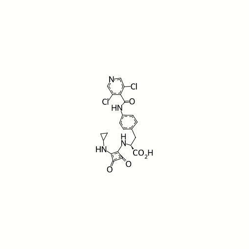 O=C(Nc1ccc(C[C@H](Nc2c(NC3CC3)c(=O)c2=O)C(=O)O)cc1)c1c(Cl)cncc1Cl